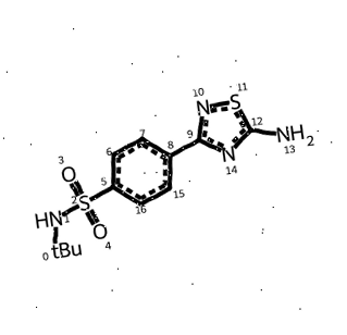 CC(C)(C)NS(=O)(=O)c1ccc(-c2nsc(N)n2)cc1